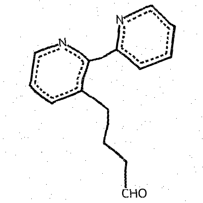 O=CCCCc1cccnc1-c1ccccn1